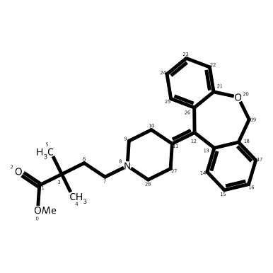 COC(=O)C(C)(C)CCN1CCC(=C2c3ccccc3COc3ccccc32)CC1